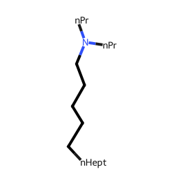 CCCCCCCCCCCCN(CCC)CCC